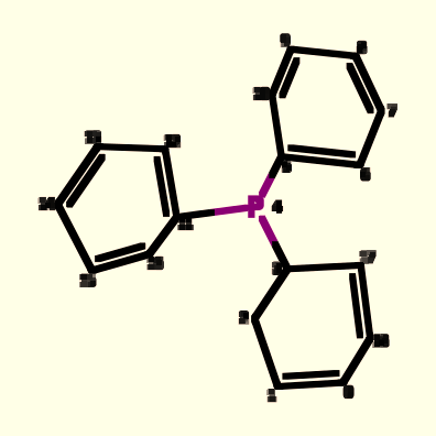 C1=CCC(P(c2ccccc2)c2ccccc2)C=C1